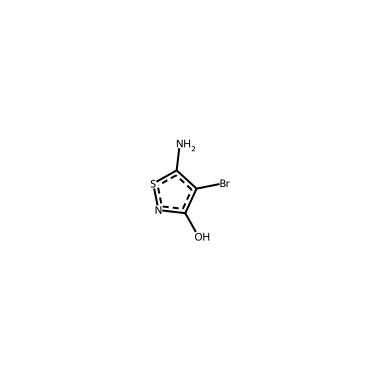 Nc1snc(O)c1Br